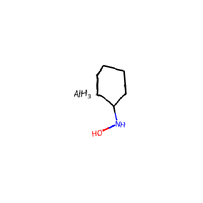 ONC1CCCCC1.[AlH3]